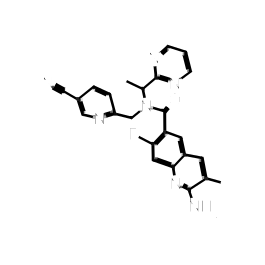 Cc1cc2cc(C(=O)N(Cc3ccc(C#N)cn3)C(C)c3ncccn3)c(F)cc2nc1N